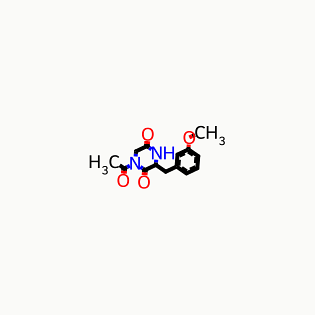 COc1cccc(CC2NC(=O)CN(C(C)=O)C2=O)c1